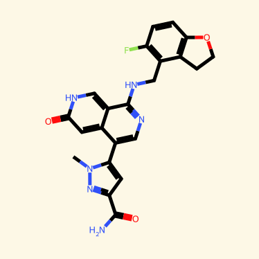 Cn1nc(C(N)=O)cc1-c1cnc(NCc2c(F)ccc3c2CCO3)c2c[nH]c(=O)cc12